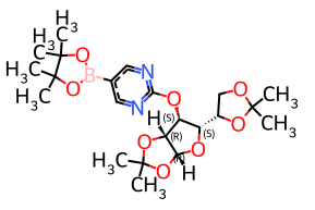 CC1(C)OCC([C@@H]2O[C@@H]3OC(C)(C)O[C@@H]3[C@H]2Oc2ncc(B3OC(C)(C)C(C)(C)O3)cn2)O1